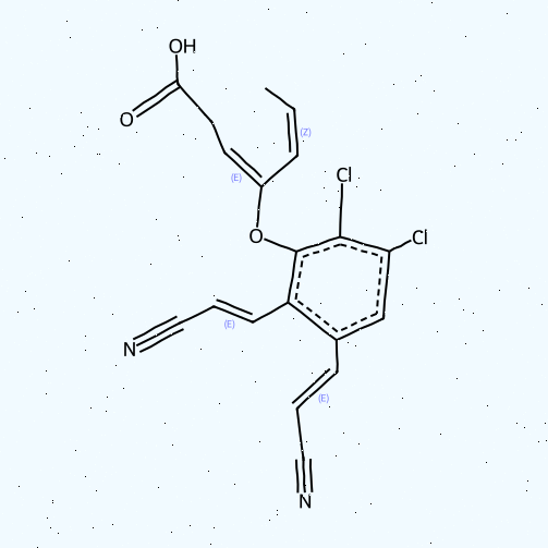 C/C=C\C(=C/CC(=O)O)Oc1c(Cl)c(Cl)cc(/C=C/C#N)c1/C=C/C#N